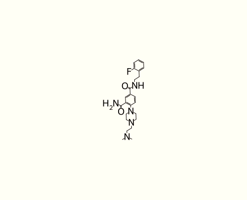 CN(C)CCN1CCN(c2ccc(C(=O)NCCc3ccccc3F)cc2C(N)=O)CC1